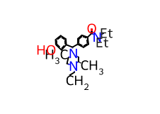 C=CCN1C[C@H](C)N(C(c2ccc(C(=O)N(CC)CC)cc2)c2cccc(O)c2)C[C@H]1C